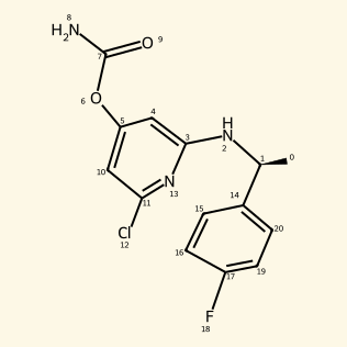 C[C@H](Nc1cc(OC(N)=O)cc(Cl)n1)c1ccc(F)cc1